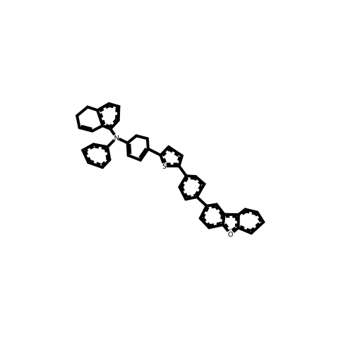 C1=Cc2c(cccc2N(C2=CC=C(c3ccc(-c4ccc(-c5ccc6oc7ccccc7c6c5)cc4)s3)CC2)c2ccccc2)CC1